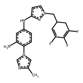 Cc1cn(-c2ccc(Nc3ccn(CC4C=C(F)C(F)=C(F)C4)n3)cc2N)cn1